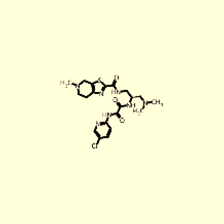 CN(C)C[C@H](CNC(=O)c1nc2c(s1)CN(C)CC2)NC(=O)C(=O)Nc1ccc(Cl)cn1